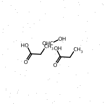 CCC(=O)O.CCC(=O)O.O=CO